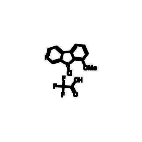 COc1cccc2c3ccncc3n(Cl)c12.O=C(O)C(F)(F)F